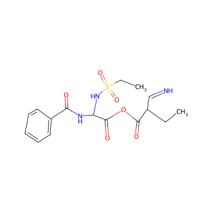 CCC(C=N)C(=O)OC(=O)C(NC(=O)c1ccccc1)NS(=O)(=O)CC